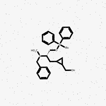 CC(C)(C)[Si](OC[C@H](CC1CC1CO)N(Cc1ccccc1)C(=O)O)(c1ccccc1)c1ccccc1